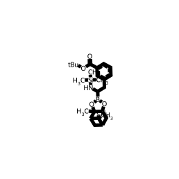 CC(C)(C)OC(=O)c1cccc(CC(N[Si](C)(C)C)B2OC3CC4CC(C4(C)C)C3(C)O2)c1